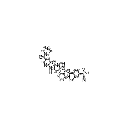 Cn1cc(-c2cccc(N3CCc4cc(C5(C#N)CC5)ccc4C3=O)c2CO)cc(Nc2ccc(C(=O)N3CCOCC3)cn2)c1=O